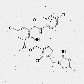 COc1cc(Cl)cc(C(=O)Nc2ccc(Cl)cn2)c1NC(=O)c1scc(CN2CC(C)OC2=N)c1Cl